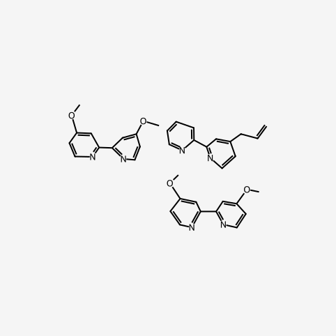 C=CCc1ccnc(-c2ccccn2)c1.COc1ccnc(-c2cc(OC)ccn2)c1.COc1ccnc(-c2cc(OC)ccn2)c1